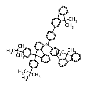 CC(C)(C)c1ccc(C2(c3ccc(C(C)(C)C)cc3)c3ccccc3-c3c(N(c4ccc(-c5ccc6c(c5)C(C)(C)c5ccccc5-6)cc4)c4ccc(-c5cccc6c5C(C)(C)c5ccccc5-6)cc4)cccc32)cc1